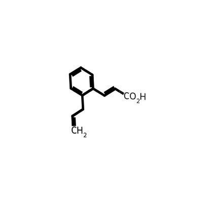 C=CCc1ccccc1/C=C/C(=O)O